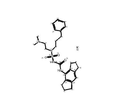 CN(C)CCN(CCCc1ccccc1)S(=O)(=O)NC(=O)Nc1c2c(cc3c1CCC3)CCC2.[K]